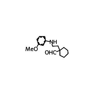 COc1cccc(NCCC2(C=O)CCCCC2)c1